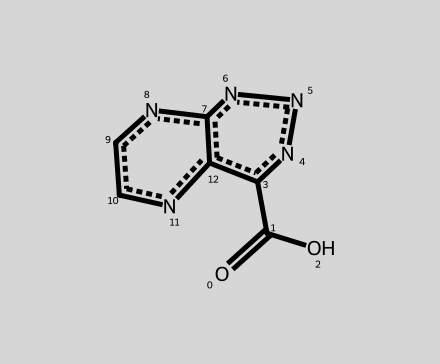 O=C(O)c1nnnc2nccnc12